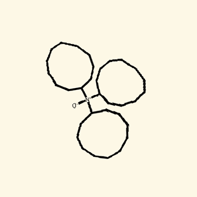 [O-][N+](C1CCCCCCCCCC1)(C1CCCCCCCCCC1)C1CCCCCCCCCC1